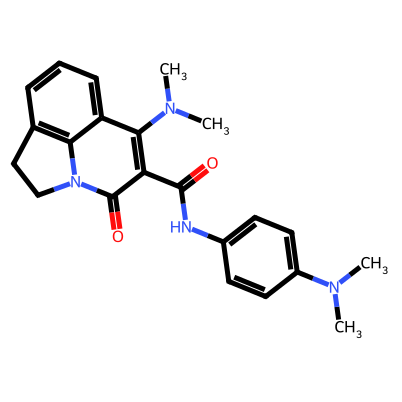 CN(C)c1ccc(NC(=O)c2c(N(C)C)c3cccc4c3n(c2=O)CC4)cc1